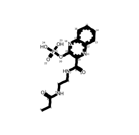 CCC(=O)NCCNC(=O)c1nc2ccccc2nc1OP(=O)(O)O